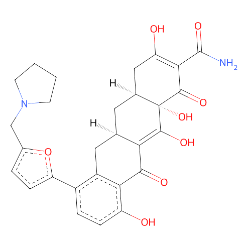 NC(=O)C1=C(O)C[C@@H]2C[C@@H]3Cc4c(-c5ccc(CN6CCCC6)o5)ccc(O)c4C(=O)C3=C(O)[C@]2(O)C1=O